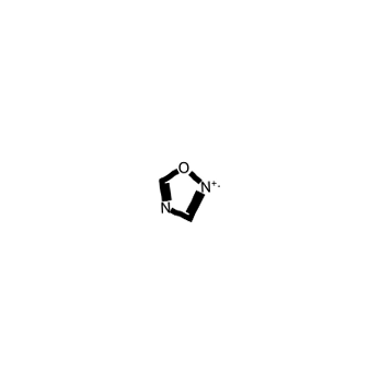 C1=NC=[N+]O1